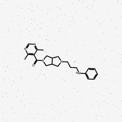 Cc1ncnc(C)c1C(=O)N1CC2CN(CCCNc3ccccc3)CC2C1